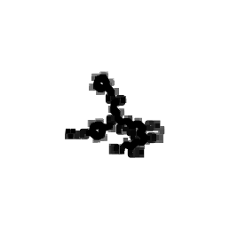 CC[C@H](C)C[C@H](O)[C@@H]1C[C@H](O)[C@H]([C@@H](C)CC(=O)C[C@H](C)[C@@H](/C=C/C(=O)OCc2ccccc2)OCc2ccc(OC)cc2)O1